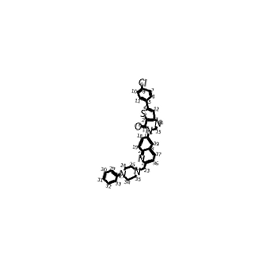 O=c1c2sc(-c3ccc(Cl)cc3)cc2ncn1-c1ccc2nc(CN3CCN(c4ccccc4)CC3)ccc2c1